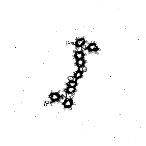 CC(C)c1cccc(N(c2ccccc2)c2ccc3cc4c(cc3c2)oc2cc3c(cc24)oc2cc4cc(N(c5ccccc5)c5cccc(C(C)C)c5)ccc4cc23)c1